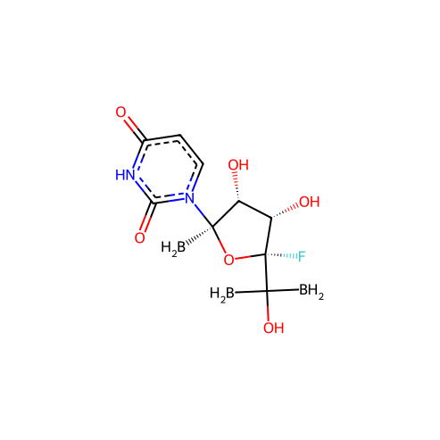 BC(B)(O)[C@@]1(F)O[C@@](B)(n2ccc(=O)[nH]c2=O)[C@H](O)[C@@H]1O